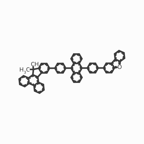 CC1(C)c2ccc(-c3ccc(-c4c5ccccc5c(-c5ccc(-c6ccc7oc8ccccc8c7c6)cc5)c5ccccc45)cc3)cc2-c2c1c1ccccc1c1ccccc21